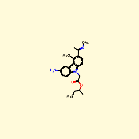 COc1c(/C(C)=N/OC(C)=O)ccc2c1c1cc(N)ccc1n2CC(=O)OC(C)CSC